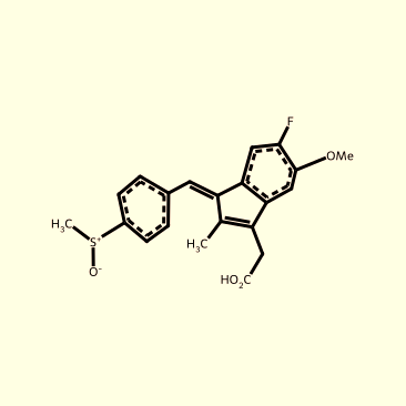 COc1cc2c(cc1F)/C(=C/c1ccc([S+](C)[O-])cc1)C(C)=C2CC(=O)O